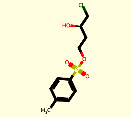 Cc1ccc(S(=O)(=O)OCC[C@@H](O)CCl)cc1